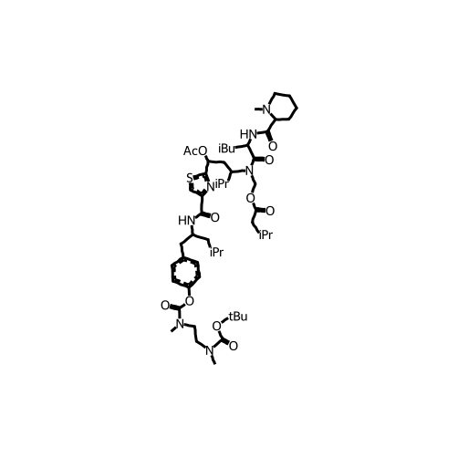 CCC(C)C(NC(=O)C1CCCCN1C)C(=O)N(COC(=O)CC(C)C)C(CC(OC(C)=O)c1nc(C(=O)NC(Cc2ccc(OC(=O)N(C)CCN(C)C(=O)OC(C)(C)C)cc2)CC(C)C)cs1)C(C)C